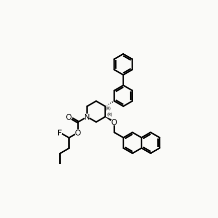 CCCC(F)OC(=O)N1CC[C@H](c2cccc(-c3ccccc3)c2)[C@@H](OCc2ccc3ccccc3c2)C1